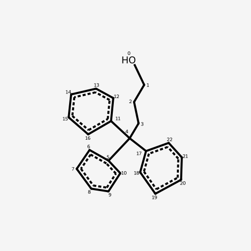 OCCCC(c1ccccc1)(c1ccccc1)c1ccccc1